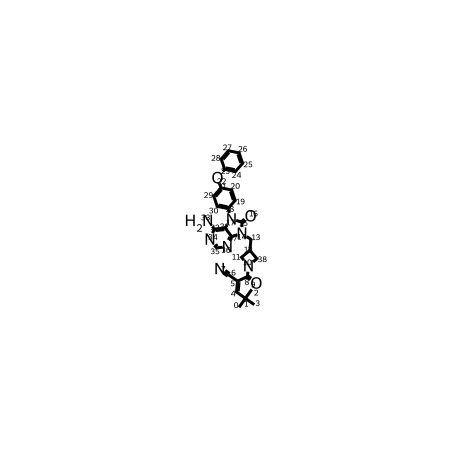 CC(C)(C)/C=C(/C#N)C(=O)N1CC(Cn2c(=O)n(-c3ccc(Oc4ccccc4)cc3)c3c(N)ncnc32)C1